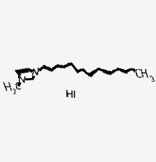 CCCCCCCCCCCCCCN1C=CN(C)C1.I